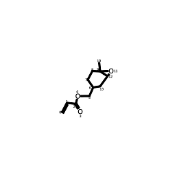 C=CC(=O)OCC1CCC2(C)OC2C1